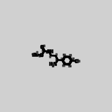 CC(C)(C)OC(=O)NCCC(N)c1ccc(Cl)cc1